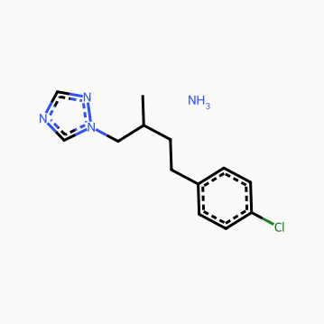 CC(CCc1ccc(Cl)cc1)Cn1cncn1.N